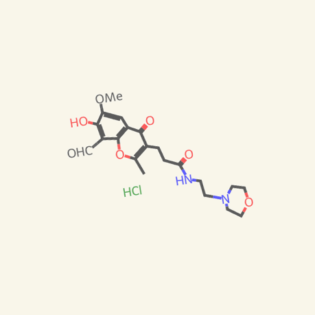 COc1cc2c(=O)c(CCC(=O)NCCN3CCOCC3)c(C)oc2c(C=O)c1O.Cl